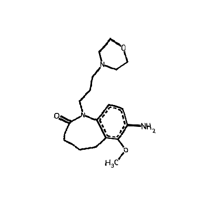 COc1c(N)ccc2c1CCCC(=O)N2CCCN1CCOCC1